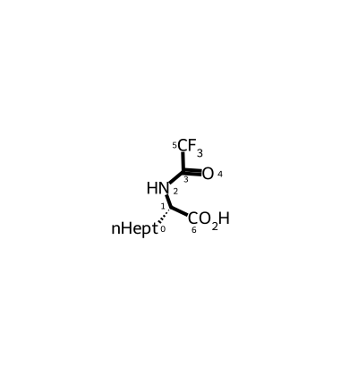 CCCCCCC[C@H](NC(=O)C(F)(F)F)C(=O)O